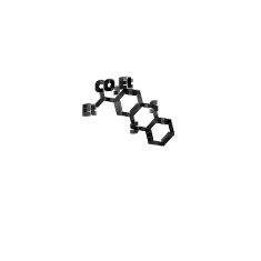 CCOC(=O)C(CC)c1ccc2c(c1)Sc1ccccc1S2